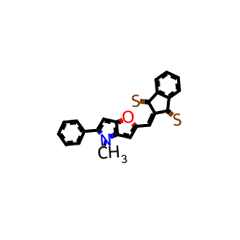 Cn1c(-c2ccccc2)cc2oc(C=C3C(=S)c4ccccc4C3=S)cc21